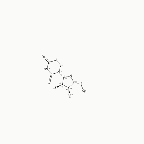 O=C1CCN([C@@H]2O[C@H](CO)[C@@H](O)[C@H]2F)C(=O)N1